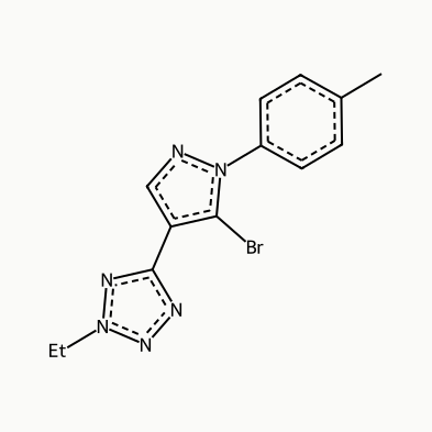 CCn1nnc(-c2cnn(-c3ccc(C)cc3)c2Br)n1